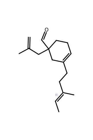 C=C(C)CC1(C=O)CCC=C(CC/C(C)=C/C)C1